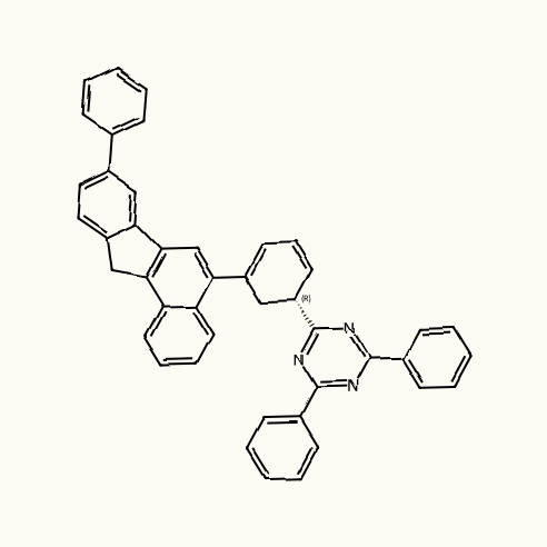 C1=C[C@H](c2nc(-c3ccccc3)nc(-c3ccccc3)n2)CC(c2cc3c(c4ccccc24)Cc2ccc(-c4ccccc4)cc2-3)=C1